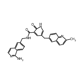 Cc1ccc2cc(Cc3c[nH]c(=O)c(C(=O)NCc4ccc5c(N)nccc5c4)c3)ccc2n1